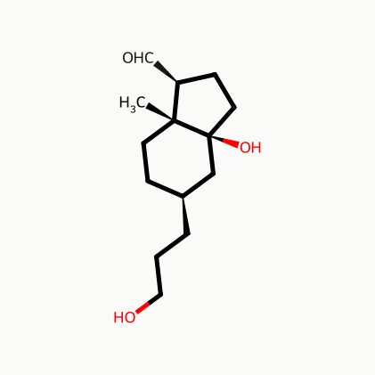 C[C@]12CC[C@H](CCCO)C[C@@]1(O)CC[C@@H]2C=O